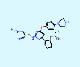 CN/C=C(\C=N)SNc1nc(Oc2ccc(N3CCNCC3)cc2)cc(-c2ccccc2CC(C)C)n1